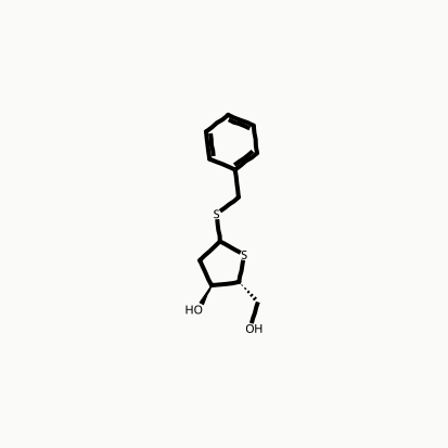 OC[C@H]1SC(SCc2ccccc2)C[C@@H]1O